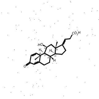 C[C@]12C=CC(=O)C=C1CC[C@@H]1[C@@H]2[C@@H](O)C[C@]2(C)C(=CCC(=O)O)CC[C@@H]12